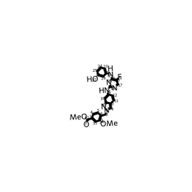 COC(=O)c1ccc(Cn2cc3ccc(Nc4ncc(F)c(Nc5cccc(O)c5)n4)cc3n2)c(OC)c1